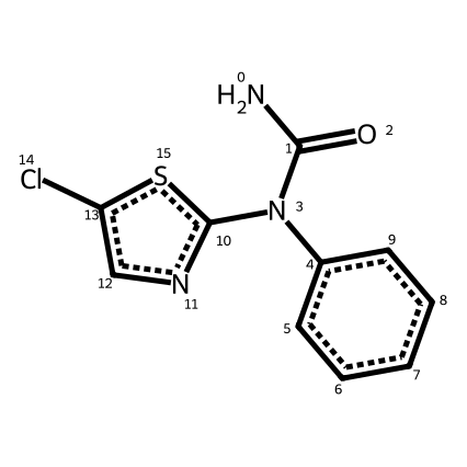 NC(=O)N(c1ccccc1)c1ncc(Cl)s1